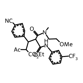 CCOC(=O)C(C(C)=O)C(c1ccc(C#N)cc1)C(C(=O)Nc1cccc(C(F)(F)F)c1)C(=O)N(C)CCOC